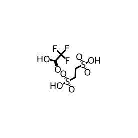 O=C(O)C(F)(F)F.O=S(=O)(O)CCS(=O)(=O)O